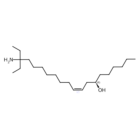 CCCCCC[C@@H](O)C/C=C\CCCCCCCC(N)(CC)CC